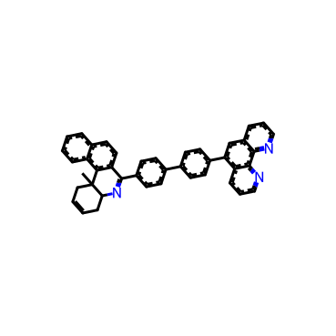 CC12CC=CCC1N=C(c1ccc(-c3ccc(-c4cc5cccnc5c5ncccc45)cc3)cc1)c1ccc3ccccc3c12